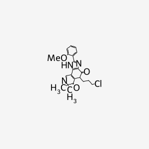 COc1ccccc1-c1nc2c([nH]1)C1=C(C(=O)C(C)(C)N=C1)C(CCCCl)C2=O